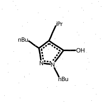 CCCCc1nn(CCCC)c(O)c1C(C)C